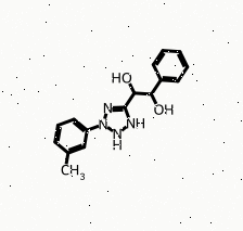 Cc1cccc(N2N=C(C(O)C(O)c3ccccc3)NN2)c1